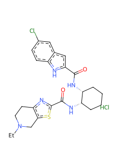 CCN1CCc2nc(C(=O)N[C@H]3CCCC[C@H]3NC(=O)c3cc4cc(Cl)ccc4[nH]3)sc2C1.Cl